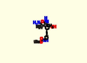 Cc1n[nH]c2c1C(c1cc(C#C[C@H]3CC[C@@H](NC(=O)OC(C)(C)C)C3)cc(CO)c1)(C(C)C)C(C#N)=C(N)O2